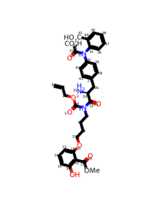 C=CCOC(=O)N(CCCCOc1cccc(O)c1C(=O)OC)C(=O)[C@@H](N)Cc1ccc(N(C(=O)C(=O)O)c2ccccc2C(=O)O)cc1